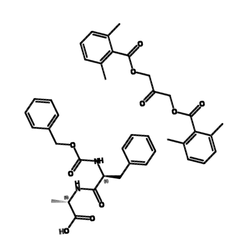 C[C@H](NC(=O)[C@H](Cc1ccccc1)NC(=O)OCc1ccccc1)C(=O)O.Cc1cccc(C)c1C(=O)OCC(=O)COC(=O)c1c(C)cccc1C